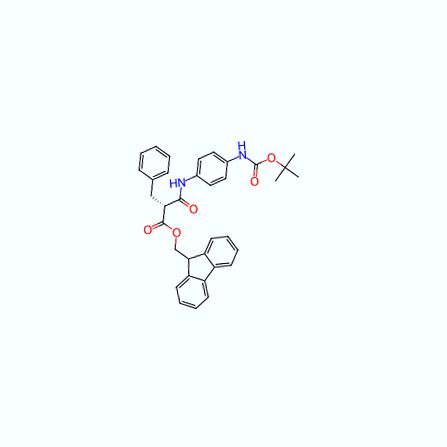 CC(C)(C)OC(=O)Nc1ccc(NC(=O)[C@@H](Cc2ccccc2)C(=O)OCC2c3ccccc3-c3ccccc32)cc1